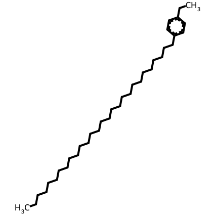 CCCCCCCCCCCCCCCCCCCCCCCCCCCCc1ccc(CC)cc1